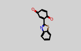 O=C1C=CC(=O)C(c2nc3ccccc3s2)=C1